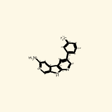 Nc1cc2c(cn1)[nH]c1ncc(-c3cccc(C(F)(F)F)c3)cc12